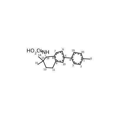 Cc1ccc(-c2ccc3c(c2)CCC(C)(C)[C@@H]3NC(=O)O)cc1